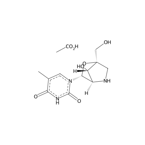 CC(=O)O.Cc1cn([C@@H]2O[C@@]3(CO)CN[C@@H]2[C@@H]3O)c(=O)[nH]c1=O